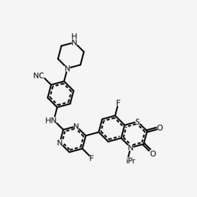 CC(C)n1c(=O)c(=O)sc2c(F)cc(-c3nc(Nc4ccc(N5CCNCC5)c(C#N)c4)ncc3F)cc21